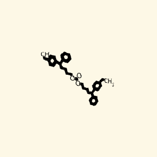 CCc1ccc(C(CCCCOC(=O)OCCCCC(c2ccccc2)c2ccc(CC)cc2)c2ccccc2)cc1